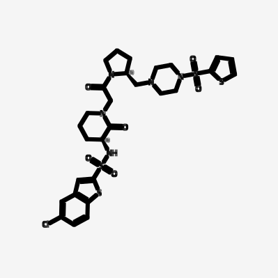 O=C1[C@@H](NS(=O)(=O)c2cc3cc(Cl)ccc3s2)CCCN1CC(=O)N1CCC[C@H]1CN1CCN(S(=O)(=O)c2cccs2)CC1